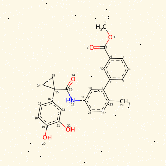 COC(=O)c1cccc(-c2cc(NC(=O)C3(c4ccc(O)c(O)c4)CC3)ccc2C)c1